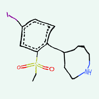 CS(=O)(=O)c1cc(I)ccc1C1CCNCC1